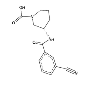 N#Cc1cccc(C(=O)N[C@H]2CCCN(C(=O)O)C2)c1